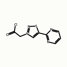 O=C(Cl)C[n+]1cc(-c2ncccn2)sn1